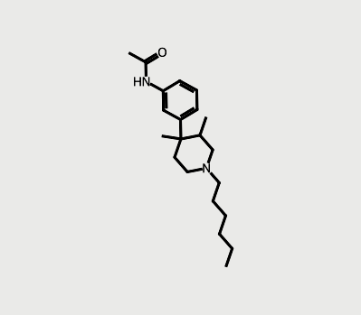 CCCCCCN1CCC(C)(c2cccc(NC(C)=O)c2)C(C)C1